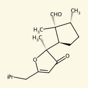 CC(C)CC1=CC(=O)[C@](C)([C@@H]2CC[C@@H](C)[C@@]2(C)C=O)O1